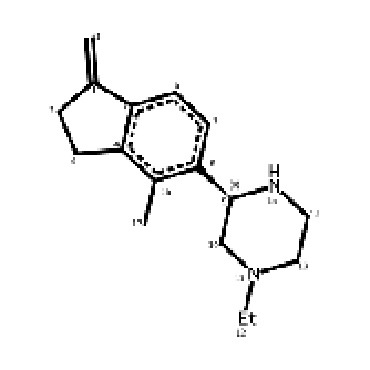 C=C1CCc2c1ccc([C@@H]1CN(CC)CCN1)c2C